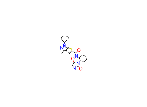 Cc1nn(C2CCCCC2)c2sc(C(=O)NC3CCCCC3N3C(=O)CN(C)C3=O)cc12